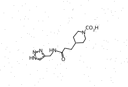 O=C(CCC1CCN(C(=O)O)CC1)NCc1c[nH]nn1